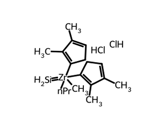 CC[CH2][Zr]([CH3])(=[SiH2])([C]1=C(C)C(C)=CC1)[C]1=C(C)C(C)=CC1.Cl.Cl